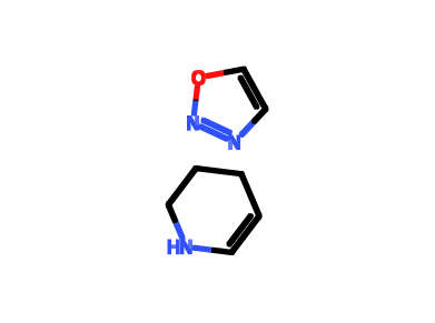 C1=CNCCC1.c1conn1